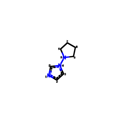 [c]1nccn1N1CCCC1